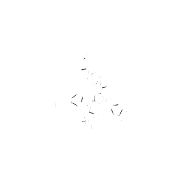 COc1cccc(N(C(=O)CC(C)(C)C)[C@@H]2C[C@@H](C(=O)N3CCN(C(=O)OC(C)(C)C)CC3)N(Cc3ccc4c(c3)OCO4)C2)c1